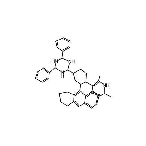 CC1=C(C2=CCC(C3NC(c4ccccc4)NC(c4ccccc4)N3)CC2c2c3c(cc4ccccc24)CCCC3)C=CC(C)N1